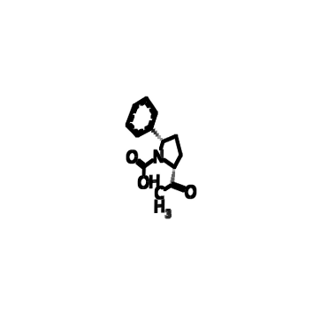 CC(=O)[C@H]1CC[C@@H](c2ccccc2)N1C(=O)O